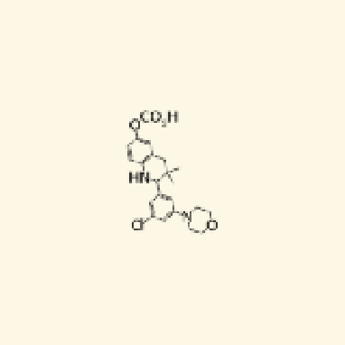 CC1(C)Cc2cc(OC(=O)O)ccc2NC1c1cc(Cl)cc(N2CCOCC2)c1